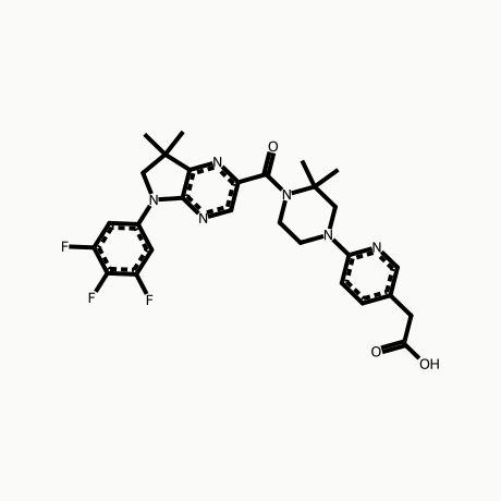 CC1(C)CN(c2cc(F)c(F)c(F)c2)c2ncc(C(=O)N3CCN(c4ccc(CC(=O)O)cn4)CC3(C)C)nc21